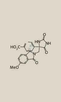 C=C(/C=C\C(=C/C)C1(CN2Cc3ccc(OC)cc3C2=O)NC(=O)NC1=O)C(=O)O